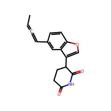 CC=C=Cc1ccc2occ(C3CCC(=O)NC3=O)c2c1